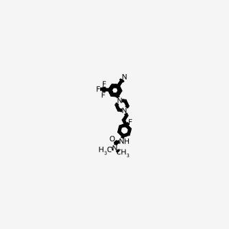 CN(C)C(=O)NC1CCC(F)(CCN2CCN(c3cc(C#N)cc(C(F)(F)F)c3)CC2)CC1